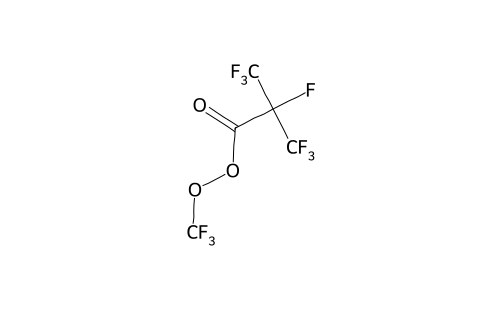 O=C(OOC(F)(F)F)C(F)(C(F)(F)F)C(F)(F)F